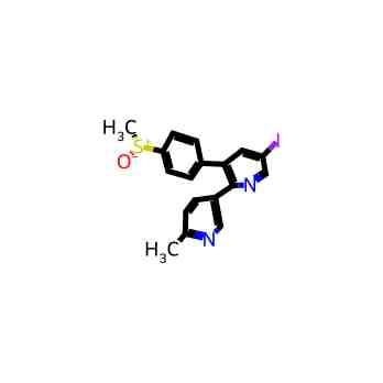 Cc1ccc(-c2ncc(I)cc2-c2ccc([S+](C)[O-])cc2)cn1